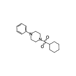 O=S(=O)(C1CCCCC1)N1CCN(c2ccccc2)CC1